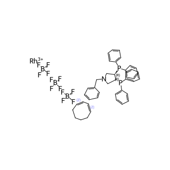 C1=C\CCCC\C=C/1.F[B-](F)(F)F.F[B-](F)(F)F.F[B-](F)(F)F.[Rh+3].c1ccc(CN2C[C@@H](P(c3ccccc3)c3ccccc3)[C@H](P(c3ccccc3)c3ccccc3)C2)cc1